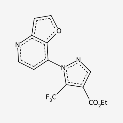 CCOC(=O)c1cnn(-c2ccnc3ccoc23)c1C(F)(F)F